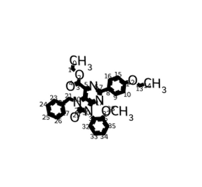 CCOC(=O)c1nc(-c2ccc(OCC)cc2)nc2c1n(Cc1ccccc1)c(=O)n2-c1ccccc1OC